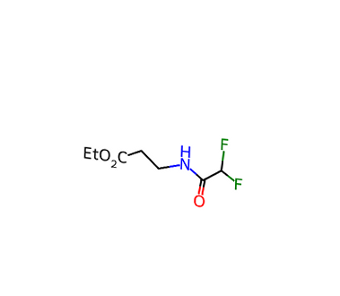 CCOC(=O)CCNC(=O)C(F)F